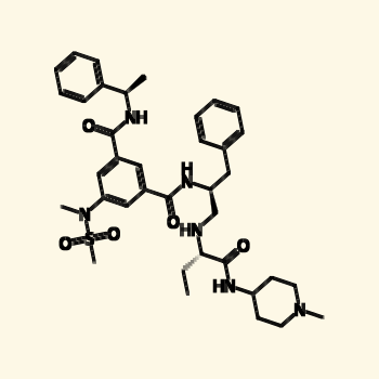 CC[C@H](NC[C@H](Cc1ccccc1)NC(=O)c1cc(C(=O)N[C@H](C)c2ccccc2)cc(N(C)S(C)(=O)=O)c1)C(=O)NC1CCN(C)CC1